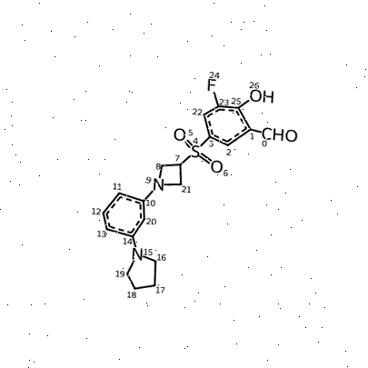 O=Cc1cc(S(=O)(=O)C2CN(c3cccc(N4CCCC4)c3)C2)cc(F)c1O